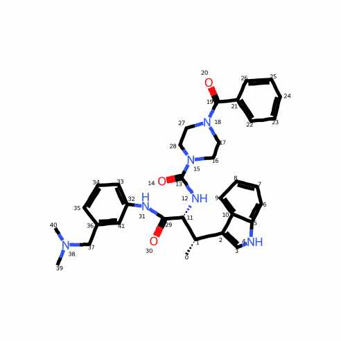 C[C@@H](c1c[nH]c2ccccc12)[C@@H](NC(=O)N1CCN(C(=O)c2ccccc2)CC1)C(=O)Nc1cccc(CN(C)C)c1